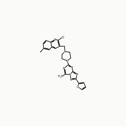 Cc1ccc2nc(Cl)c(CN3CCN(c4nc(N)n5nc(-c6ccco6)nc5n4)CC3)cc2c1